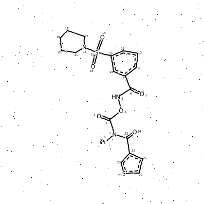 CC(C)N(C(=O)ONC(=O)c1cccc(S(=O)(=O)N2CCCCC2)c1)C(=O)c1ccsc1